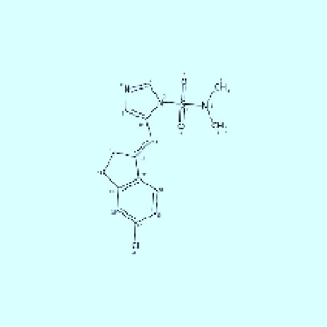 CN(C)S(=O)(=O)n1cncc1/C=C1\CCc2cc(Cl)ccc21